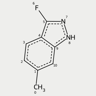 Cc1ccc2c(F)n[nH]c2c1